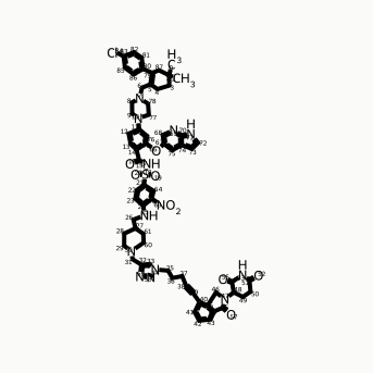 CC1(C)CCC(CN2CCN(c3ccc(C(=O)NS(=O)(=O)c4ccc(NCC5CCN(Cc6cn(CCCC#Cc7cccc8c7CN(C7CCC(=O)NC7=O)C8=O)nn6)CC5)c([N+](=O)[O-])c4)c(Oc4cnc5[nH]ccc5c4)c3)CC2)=C(c2ccc(Cl)cc2)C1